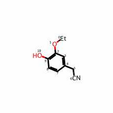 CCOc1cc(CC#N)ccc1O